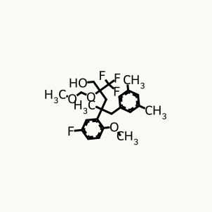 COCOC(CO)(CC(C)(Cc1cc(C)cc(C)c1)c1cc(F)ccc1OC)C(F)(F)F